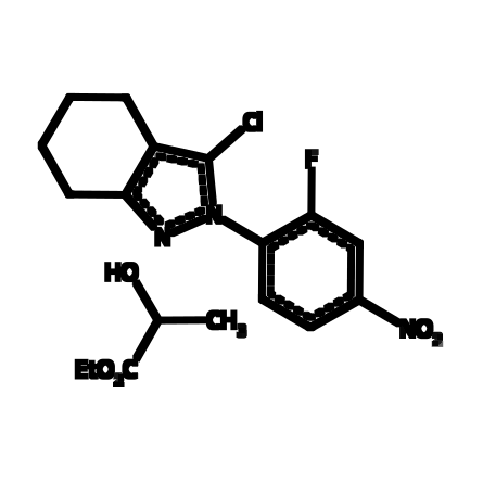 CCOC(=O)C(C)O.O=[N+]([O-])c1ccc(-n2nc3c(c2Cl)CCCC3)c(F)c1